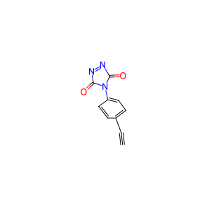 C#Cc1ccc(N2C(=O)N=NC2=O)cc1